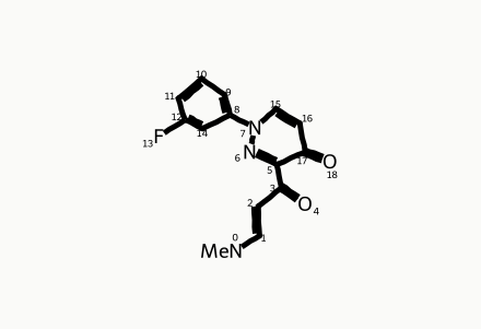 CNC=CC(=O)c1nn(-c2cccc(F)c2)ccc1=O